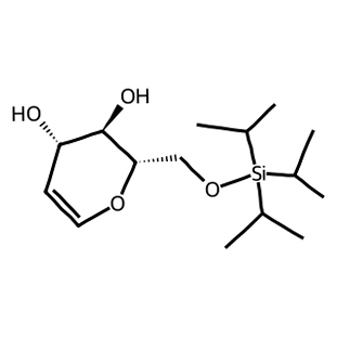 CC(C)[Si](OC[C@@H]1OC=C[C@H](O)[C@H]1O)(C(C)C)C(C)C